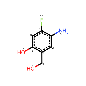 Nc1cc(CO)c(O)cc1F